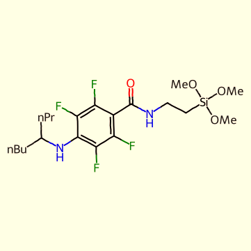 CCCCC(CCC)Nc1c(F)c(F)c(C(=O)NCC[Si](OC)(OC)OC)c(F)c1F